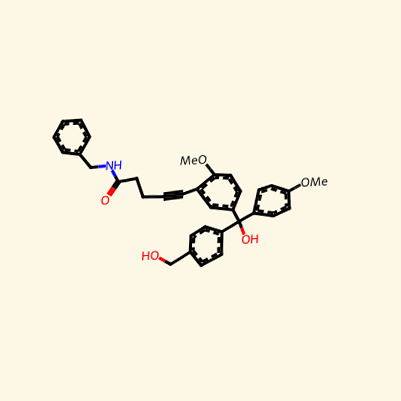 COc1ccc(C(O)(c2ccc(CO)cc2)c2ccc(OC)c(C#CCCC(=O)NCc3ccccc3)c2)cc1